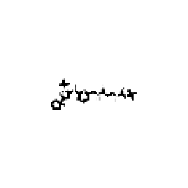 CC(C)(C)OC(=O)NCCC(=O)NCc1cccc(Nc2cc(C3(C)CCCC3)nn2C(C)(C)C)n1